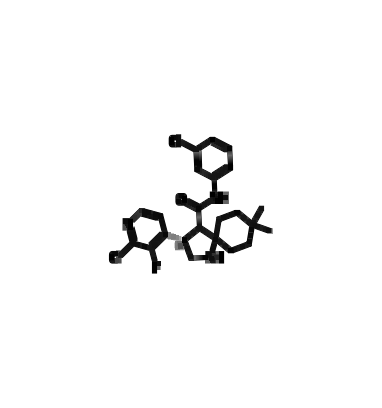 CC1(C)CCC2(CC1)NC[C@H](c1ccnc(Cl)c1F)C2C(=O)Nc1cccc(Cl)c1